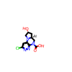 O=C(O)N1C[C@@H]2C[C@@H](O)CN2c2cc(Cl)nnc21